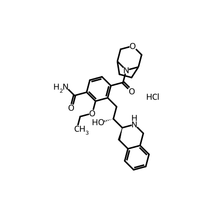 CCOc1c(C(N)=O)ccc(C(=O)N2C3CCC2COC3)c1C[C@@H](O)[C@@H]1Cc2ccccc2CN1.Cl